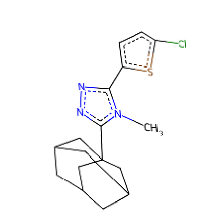 Cn1c(-c2ccc(Cl)s2)nnc1C12CC3CC(CC(C3)C1)C2